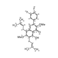 COc1c(CC=C(C)C)c(O)c2c(=O)c(OC)c(-c3ccc(F)c(F)c3)oc2c1CC=C(C)C